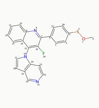 COSc1ccc(-c2nc3ccccc3c(-n3ccc4cnccc43)c2F)cc1